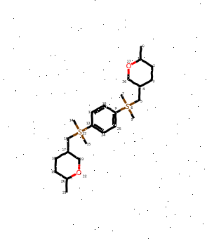 CC1CCC(CS(C)(C)c2ccc(S(C)(C)CC3CCC(C)OC3)cc2)CO1